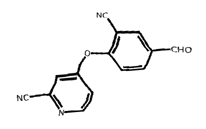 N#Cc1cc(Oc2ccc(C=O)cc2C#N)ccn1